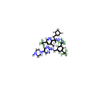 CN1CCN(c2cnc(N(Cc3cc(C(F)(F)F)cc(C(F)(F)F)c3)Cc3cc(C(F)(F)F)cnc3C(C)(N)CC3CCCC3)nc2)CC1